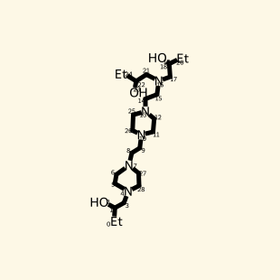 CCC(O)CN1CCN(CCN2CCN(CCN(CC(O)CC)CC(O)CC)CC2)CC1